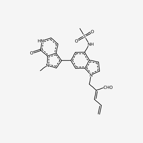 C=C/C=C(\C=O)Cn1ccc2c(NS(C)(=O)=O)cc(-c3cn(C)c4c(=O)[nH]ccc34)cc21